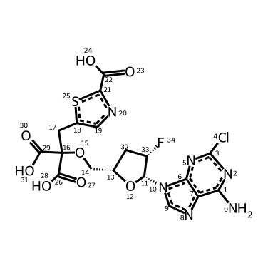 Nc1nc(Cl)nc2c1ncn2[C@@H]1O[C@H](COC(Cc2cnc(C(=O)O)s2)(C(=O)O)C(=O)O)C[C@@H]1F